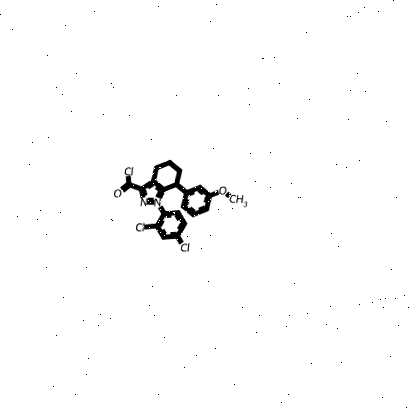 COc1cccc(C2CCCc3c(C(=O)Cl)nn(-c4ccc(Cl)cc4Cl)c32)c1